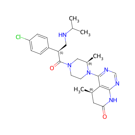 CC(C)NC[C@@H](C(=O)N1CCN(c2ncnc3c2[C@H](C)CC(=O)N3)[C@H](C)C1)c1ccc(Cl)cc1